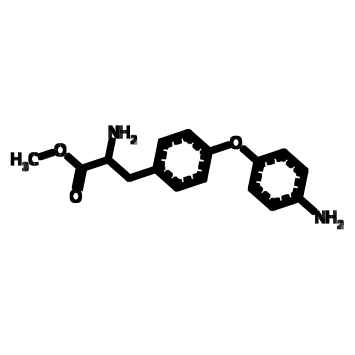 COC(=O)C(N)Cc1ccc(Oc2ccc(N)cc2)cc1